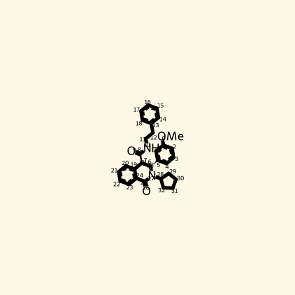 COc1cccc([C@H]2[C@H](C(=O)NCCc3ccccc3)c3ccccc3C(=O)N2C2CCCC2)c1